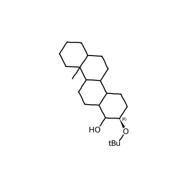 CC(C)(C)O[C@@H]1CCC2C(CCC3C2CCC2CCCCC23C)C1O